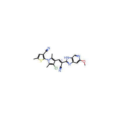 COc1cc2nc(/C(C#N)=C/c3c(Cl)c(C)n(-c4sc(C)cc4C#N)c3C)[nH]c2cn1